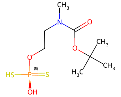 CN(CCO[P@](O)(=S)S)C(=O)OC(C)(C)C